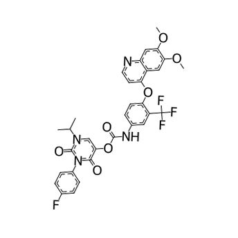 COc1cc2nccc(Oc3ccc(NC(=O)Oc4cn(C(C)C)c(=O)n(-c5ccc(F)cc5)c4=O)cc3C(F)(F)F)c2cc1OC